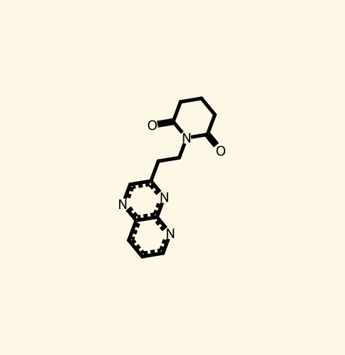 O=C1CCCC(=O)N1CCc1cnc2cccnc2n1